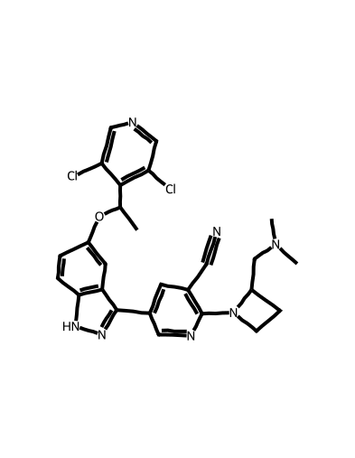 CC(Oc1ccc2[nH]nc(-c3cnc(N4CCC4CN(C)C)c(C#N)c3)c2c1)c1c(Cl)cncc1Cl